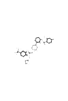 CC1(c2ccc(Cl)cc2F)Oc2cccc(C3CCN(Cc4nc5cc(C(=N)N)ccc5n4C[C@@H]4CCO4)CC3)c2O1